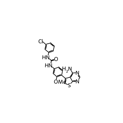 COc1cc(NC(=O)Nc2cccc(Cl)c2)ccc1-c1csc2ncnc(N)c12